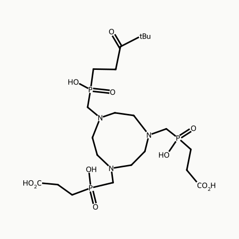 CC(C)(C)C(=O)CCP(=O)(O)CN1CCN(CP(=O)(O)CCC(=O)O)CCN(CP(=O)(O)CCC(=O)O)CC1